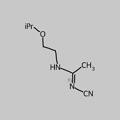 C/C(=N\C#N)NCCOC(C)C